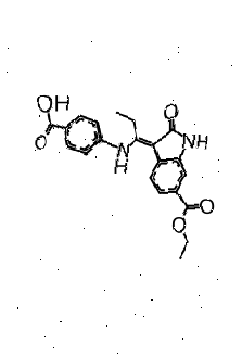 CCOC(=O)c1ccc2c(c1)NC(=O)C2=C(CC)Nc1ccc(C(=O)O)cc1